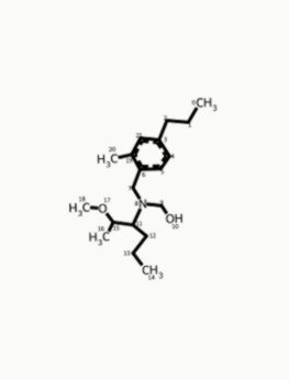 CCCc1ccc(CN(CO)C(CCC)C(C)OC)c(C)c1